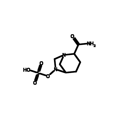 NC(=O)C1CCC2CN1CN2OS(=O)(=O)O